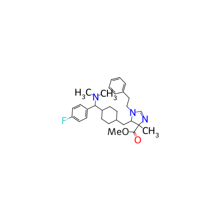 COC(=O)C1(C)N=CN(CCc2ccccc2)C1CC1CCC(C(c2ccc(F)cc2)N(C)C)CC1